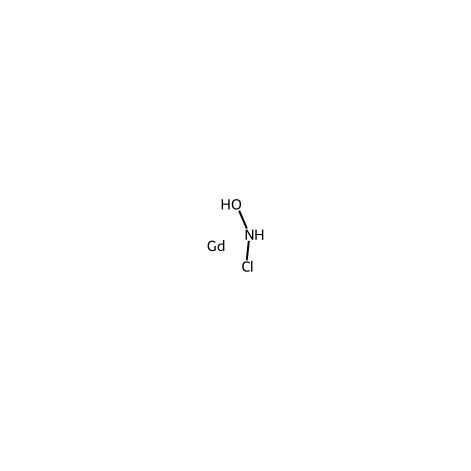 ONCl.[Gd]